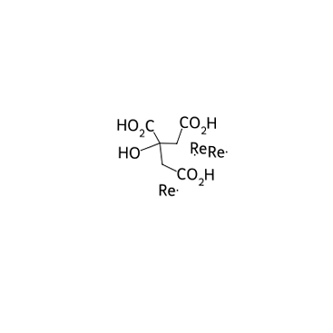 O=C(O)CC(O)(CC(=O)O)C(=O)O.[Re].[Re].[Re]